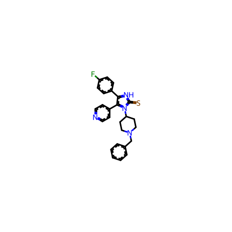 Fc1ccc(-c2[nH]c(=S)n(C3CCN(Cc4ccccc4)CC3)c2-c2ccncc2)cc1